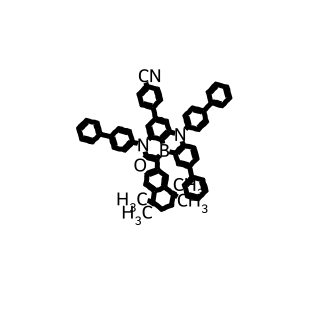 CC1(C)CCC(C)(C)c2cc3c4c(oc3cc21)N(c1ccc(-c2ccccc2)cc1)c1cc(-c2ccc(C#N)cc2)cc2c1B4c1cc(-c3ccccc3)ccc1N2c1ccc(-c2ccccc2)cc1